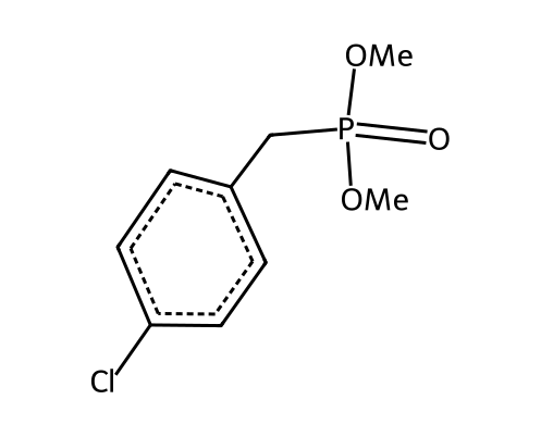 COP(=O)(Cc1ccc(Cl)cc1)OC